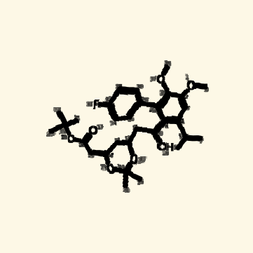 COc1cc(C(C)C)c(C(O)CC2CC(=CC(=O)OC(C)(C)C)OC(C)(C)O2)c(-c2ccc(F)cc2)c1OC